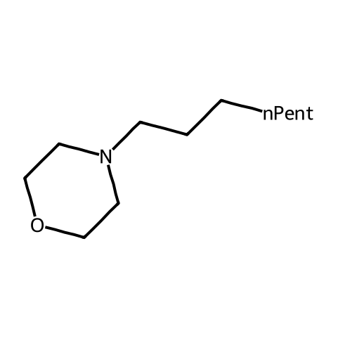 CCCCCCCCN1CCOCC1